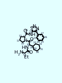 CC[C@H](N)C(=O)N[C@H](C(=O)N1CCC[C@H]1C(=O)Nc1snnc1-c1ccccc1)C1CCCCC1